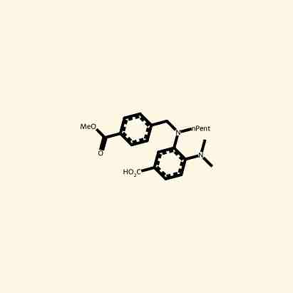 CCCCCN(Cc1ccc(C(=O)OC)cc1)c1cc(C(=O)O)ccc1N(C)C